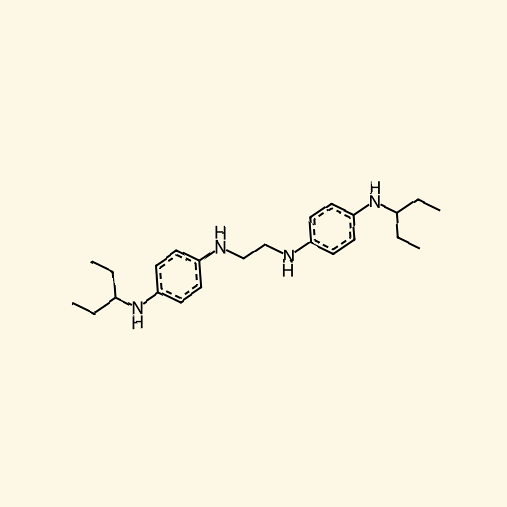 CCC(CC)Nc1ccc(NCCNc2ccc(NC(CC)CC)cc2)cc1